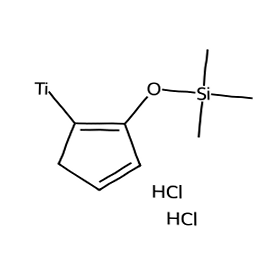 C[Si](C)(C)OC1=[C]([Ti])CC=C1.Cl.Cl